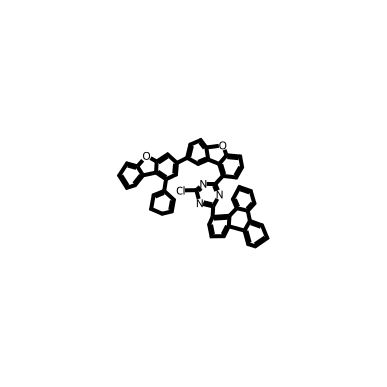 Clc1nc(-c2cccc3oc4ccc(-c5cc(C6=CCCC=C6)c6c(c5)oc5ccccc56)cc4c23)nc(-c2cccc3c4ccccc4c4ccccc4c23)n1